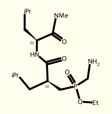 CCOP(=O)(CN)C[C@@H](CC(C)C)C(=O)N[C@@H](CC(C)C)C(=O)NC